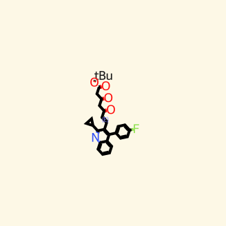 CC(C)(C)OC(=O)CC(=O)CC(=O)/C=C/c1c(C2CC2)nc2ccccc2c1-c1ccc(F)cc1